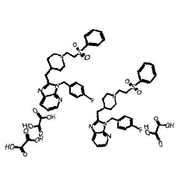 O=C(O)C(=O)O.O=C(O)C(=O)O.O=C(O)C(=O)O.O=S(=O)(CCN1CCC(Cc2nc3cccnc3n2Cc2ccc(F)cc2)CC1)c1ccccc1.O=S(=O)(CCN1CCC(Cc2nc3cccnc3n2Cc2ccc(F)cc2)CC1)c1ccccc1